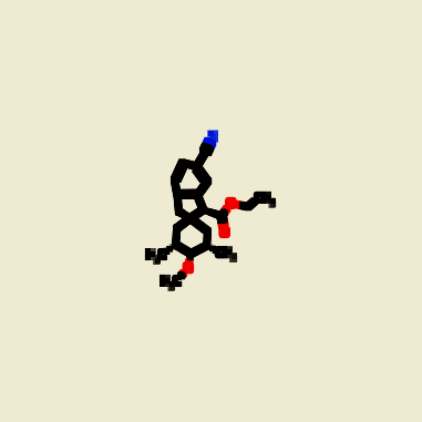 CCOC(=O)[C@@H]1c2cc(C#N)ccc2C[C@@]12C[C@@H](C)[C@H](OC)[C@@H](C)C2